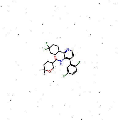 CC1(C)CCC(C(=O)Nc2c(-c3cc(F)ccc3F)ccnc2C2CCC(F)(F)CC2)CO1